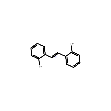 CCc1ccccc1/C=C/c1ccccc1CC